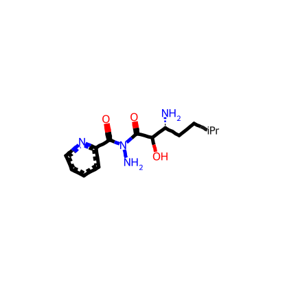 CC(C)CC[C@@H](N)C(O)C(=O)N(N)C(=O)c1ccccn1